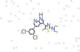 CCN(CC)c1nc(-c2c[nH]c3ncc(-c4cc(Cl)cc(Cl)c4)cc23)c(C)s1